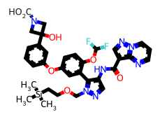 C[Si](C)(C)CCOCn1ncc(NC(=O)c2cnn3cccnc23)c1-c1cc(Oc2cccc(C3(O)CN(C(=O)O)C3)c2)ccc1OC(F)F